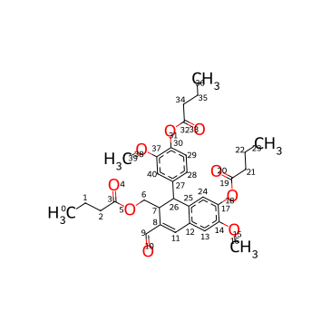 CCCC(=O)OCC1C(C=O)=Cc2cc(OC)c(OC(=O)CCC)cc2C1c1ccc(OC(=O)CCC)c(OC)c1